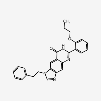 CCCOc1ccccc1-c1nc2cc3ncn(CCc4ccccc4)c3cc2c(=O)[nH]1